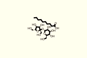 CCCCCCCCCC(=O)O.OC[C@H]1O[C@@](CO)(O[C@H]2O[C@H](CO)[C@@H](O)[C@H](O)[C@H]2O)[C@@H](O)[C@@H]1O